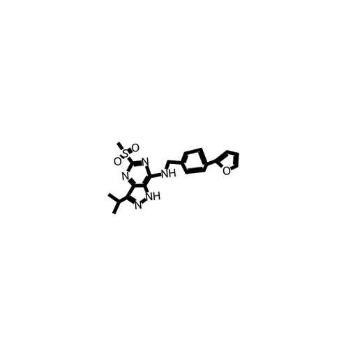 CC(C)c1n[nH]c2c(NCc3ccc(-c4ccco4)cc3)nc(S(C)(=O)=O)nc12